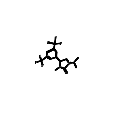 CC(C)N1CC(c2cc(C(F)(F)F)cc(C(F)(F)F)c2)N(C)C1=O